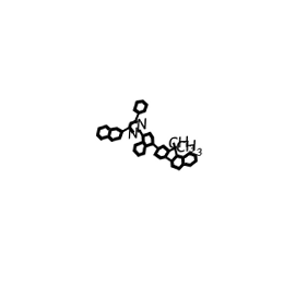 CC1(C)c2cc(-c3ccc(-c4nc(-c5ccccc5)cc(-c5ccc6ccccc6c5)n4)c4ccccc34)ccc2-c2ccc3ccccc3c21